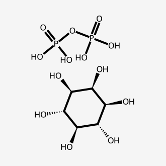 O=P(O)(O)OP(=O)(O)O.O[C@H]1[C@H](O)[C@@H](O)[C@H](O)[C@@H](O)[C@H]1O